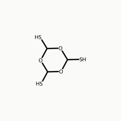 SC1OC(S)OC(S)O1